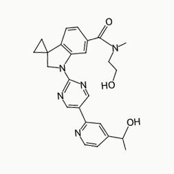 CC(O)c1ccnc(-c2cnc(N3CC4(CC4)c4ccc(C(=O)N(C)CCO)cc43)nc2)c1